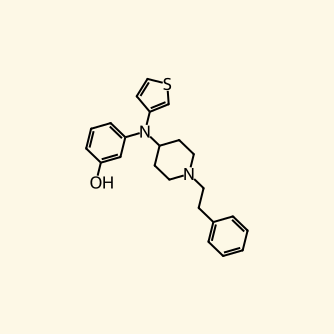 Oc1cccc(N(c2ccsc2)C2CCN(CCc3ccccc3)CC2)c1